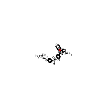 CN(C)CCOc1ccc(NC(=O)Nc2ccc(-c3nc(N4C5COCC4CN(C)C5)c4cnn(CC(F)(F)F)c4n3)cc2)cc1